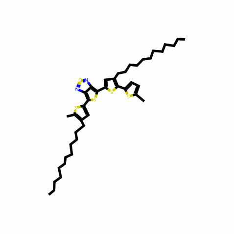 CCCCCCCCCCCCc1cc(-c2sc(-c3cc(CCCCCCCCCCCC)c(-c4ccc(C)s4)s3)c3c2N=S=N3)sc1C